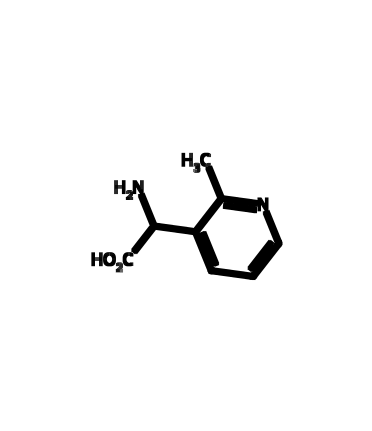 Cc1ncccc1C(N)C(=O)O